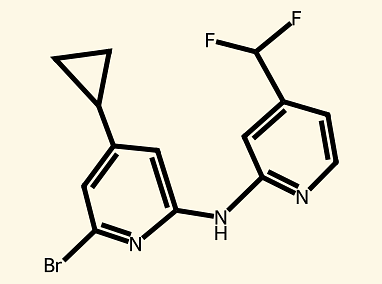 FC(F)c1ccnc(Nc2cc(C3CC3)cc(Br)n2)c1